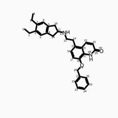 CCc1cc2c(cc1CC)CC(NCCc1ccc(OCc3ccccc3)c3[nH]c(=O)ccc13)C2